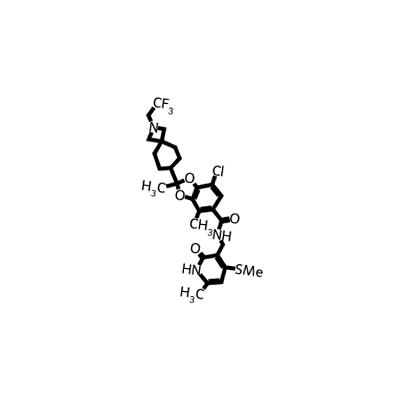 CSc1cc(C)[nH]c(=O)c1CNC(=O)c1cc(Cl)c2c(c1C)OC(C)(C1CCC3(CC1)CN(CC(F)(F)F)C3)O2